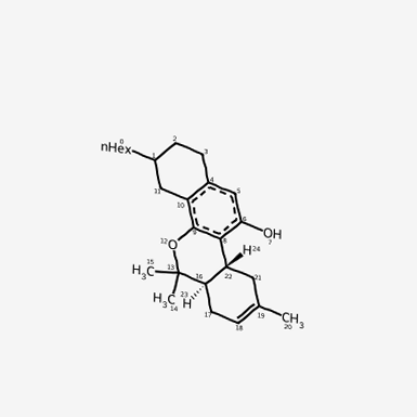 CCCCCCC1CCc2cc(O)c3c(c2C1)OC(C)(C)[C@@H]1CC=C(C)C[C@@H]31